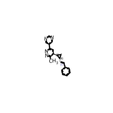 Cc1nnc(-c2cncnc2)cc1[C@H]1C[C@@H]1/C=C/c1ccccc1